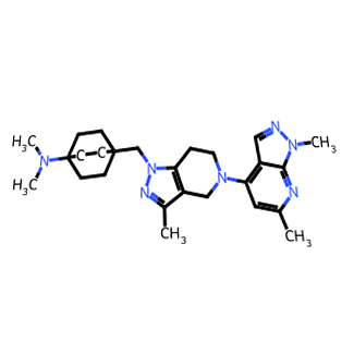 Cc1cc(N2CCc3c(c(C)nn3CC34CCC(N(C)C)(CC3)CC4)C2)c2cnn(C)c2n1